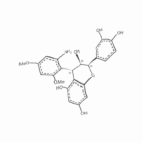 COc1cc(N)c([C@H]2c3c(O)cc(O)cc3O[C@H](c3ccc(O)c(O)c3)[C@@H]2O)c(OC)c1